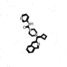 O=C(Nc1cccnc1)N1CCN(C(=C2CCC2)c2cc3ccccc3cn2)CC1